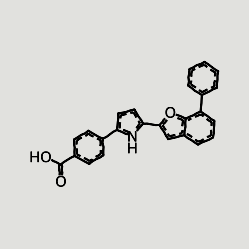 O=C(O)c1ccc(-c2ccc(-c3cc4cccc(-c5ccccc5)c4o3)[nH]2)cc1